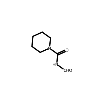 O=CNC(=O)N1CCCCC1